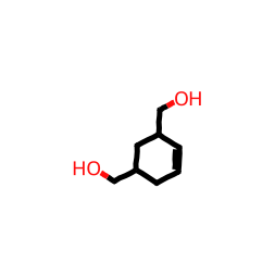 OCC1C=CCC(CO)C1